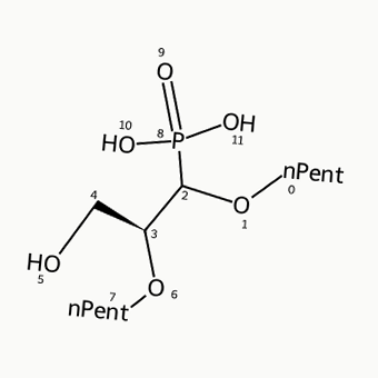 CCCCCOC([C@H](CO)OCCCCC)P(=O)(O)O